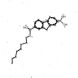 CCCCCCCCOB(O)c1ccc2c(c1)Cc1cc(B(O)O)ccc1-2